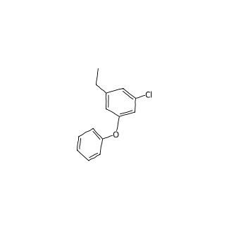 CCc1cc(Cl)cc(Oc2ccccc2)c1